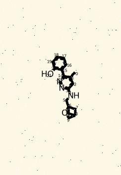 Cc1cc(NCC23CC(CO2)C3)nnc1-c1ccccc1O